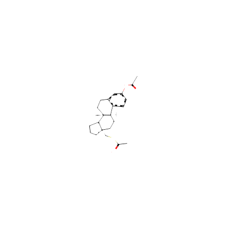 CC(=O)Oc1ccc2c(c1)CC[C@@H]1[C@@H]2CC[C@]2(CSC(C)=O)CCC[C@@H]12